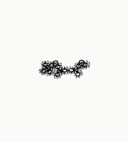 c1ccc(N(c2ccc(-c3ccc(N(c4ccccc4)c4ccc5oc6ccc([Si](c7ccccc7)(c7ccccc7)c7ccccc7)cc6c5c4)cc3)cc2)c2ccc3oc4ccccc4c3c2)cc1